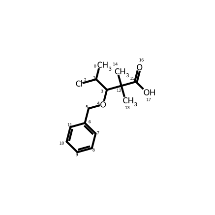 CC(Cl)C(OCc1ccccc1)C(C)(C)C(=O)O